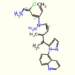 C=C/C(=C\C(Cl)=C/N)N(N)/C=C\C(=C)C(=C)c1ccnn1-c1cccc2ncccc12